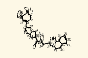 Cn1ccc(-c2cnc3nc(C(=O)NC[C@H](O)CN4CCc5ccccc5C4)cn3c2)cc1=O